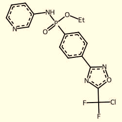 CCOP(=O)(Nc1cccnc1)c1ccc(-c2noc(C(F)(F)Cl)n2)cc1